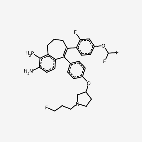 Nc1ccc2c(c1P)CCCC(c1ccc(OC(F)F)cc1F)=C2c1ccc(OC2CCN(CCCF)C2)cc1